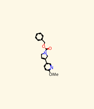 COc1ccc(C2=CCN(C(=O)OCc3ccccc3)C2)cn1